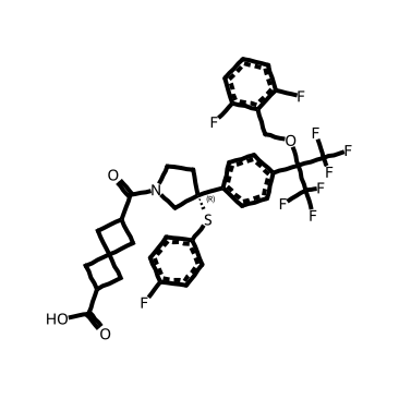 O=C(O)C1CC2(C1)CC(C(=O)N1CC[C@@](Sc3ccc(F)cc3)(c3ccc(C(OCc4c(F)cccc4F)(C(F)(F)F)C(F)(F)F)cc3)C1)C2